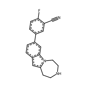 N#Cc1cc(-c2ccc3cc4n(c3c2)CCNCC4)ccc1F